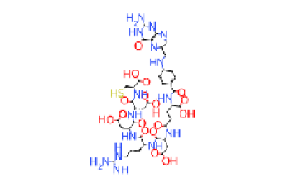 N=C(N)NCCC[C@H](NC(=O)[C@H](CC(=O)O)NC(=O)CCC(NC(=O)c1ccc(NCc2cnc3nc(N)[nH]c(=O)c3n2)cc1)C(=O)O)C(=O)N[C@@H](CC(=O)O)C(=O)N[C@@H](CC(=O)O)C(=O)N[C@@H](CS)C(=O)O